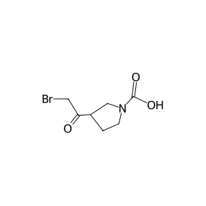 O=C(CBr)C1CCN(C(=O)O)C1